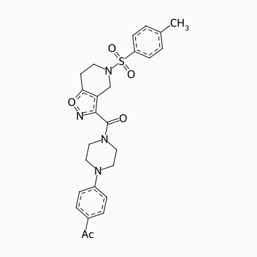 CC(=O)c1ccc(N2CCN(C(=O)c3noc4c3CN(S(=O)(=O)c3ccc(C)cc3)CC4)CC2)cc1